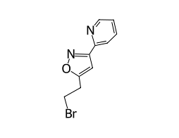 BrCCc1cc(-c2ccccn2)no1